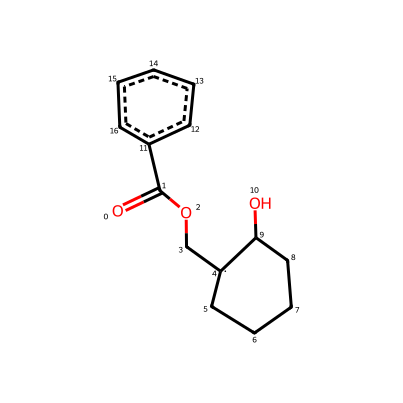 O=C(OC[C]1CCCCC1O)c1ccccc1